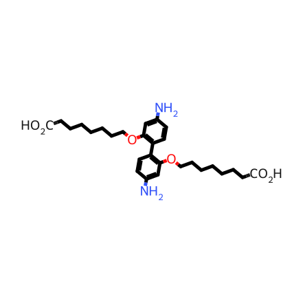 Nc1ccc(-c2ccc(N)cc2OCCCCCCCC(=O)O)c(OCCCCCCCC(=O)O)c1